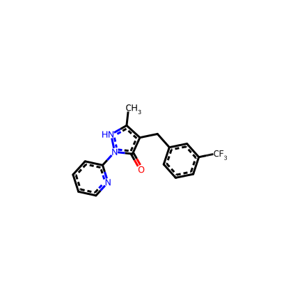 Cc1[nH]n(-c2ccccn2)c(=O)c1Cc1cccc(C(F)(F)F)c1